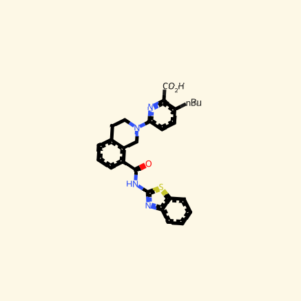 CCCCc1ccc(N2CCc3cccc(C(=O)Nc4nc5ccccc5s4)c3C2)nc1C(=O)O